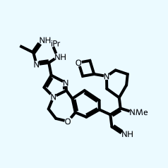 CN/C(=C(\C=N)c1ccc2c(c1)OCCn1cc(/C(=N/C(C)=N)NC(C)C)nc1-2)C1CCCN(C2COC2)C1